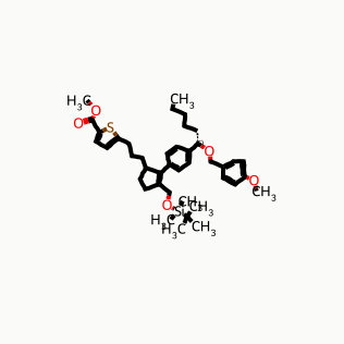 CCCCC[C@H](OCc1ccc(OC)cc1)c1ccc(C2=C(CO[Si](C)(C)C(C)(C)C)CCC2CCCc2ccc(C(=O)OC)s2)cc1